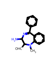 CN1c2ccccc2C(c2ccccc2)=NC(N)C1C=O